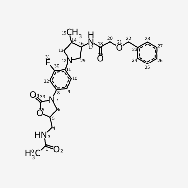 CC(=O)NCC1CN(c2ccc(N3CC(C)C(NC(=O)COCc4ccccc4)C3)c(F)c2)C(=O)O1